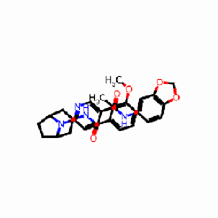 COc1cccc(C(=O)NC2CC3CCC(C2)N3c2ccc(C(=O)Nc3ccc4c(c3)OCO4)cn2)c1C